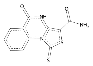 NC(=O)c1sc(=S)n2c1[nH]c(=O)c1ccccc12